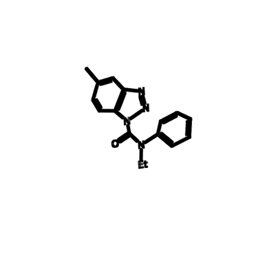 CCN(C(=O)n1nnc2cc(C)ccc21)c1ccccc1